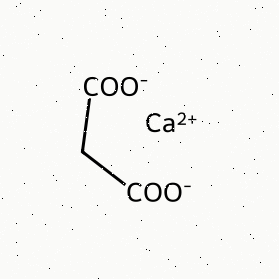 O=C([O-])CC(=O)[O-].[Ca+2]